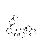 CN1CCN(c2cccc3nc([C@H]4CCC[C@@H](c5nccc6c5OCCO6)N4C)[nH]c23)CC1